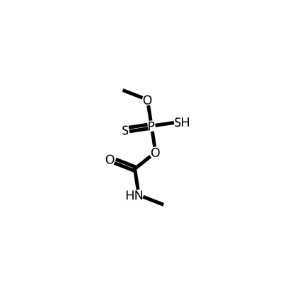 CNC(=O)OP(=S)(S)OC